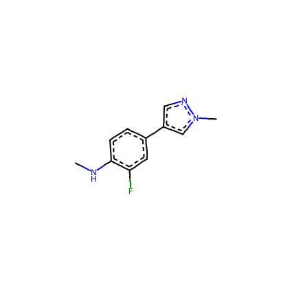 CNc1ccc(-c2cnn(C)c2)cc1F